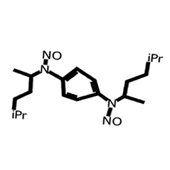 CC(C)CCC(C)N(N=O)c1ccc(N(N=O)C(C)CCC(C)C)cc1